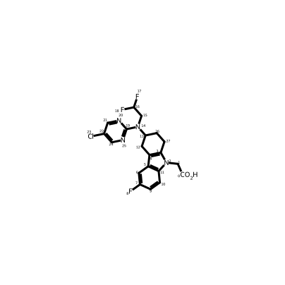 O=C(O)Cn1c2c(c3cc(F)ccc31)CC(N(CC(F)F)c1ncc(Cl)cn1)CC2